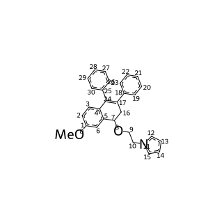 COc1ccc2c(c1)C(OCCn1cccc1)CC(c1ccccc1)=C2c1ccccc1